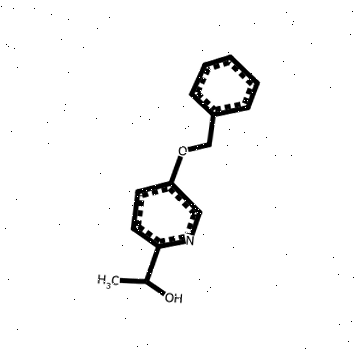 CC(O)c1ccc(OCc2ccccc2)cn1